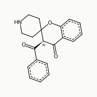 O=C(c1ccccc1)[C@@H]1C(=O)c2ccccc2OC12CCNCC2